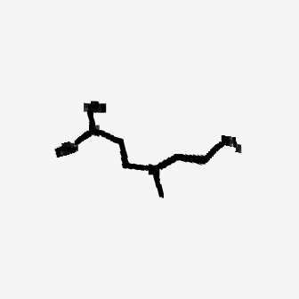 CCCCN(CCCC)CCN(C)CCN